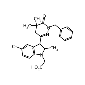 CC1C(C2=NN(Cc3ccccc3)C(=O)C(C)(C)C2)c2cc(Cl)ccc2N1CC(=O)O